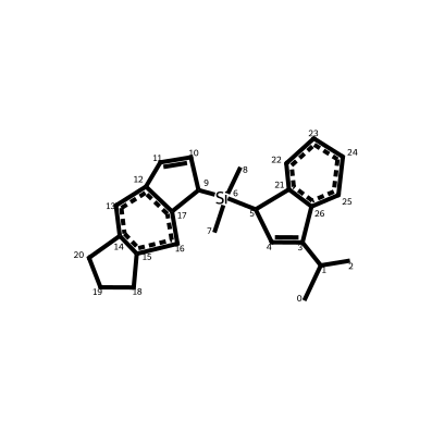 CC(C)C1=CC([Si](C)(C)C2C=Cc3cc4c(cc32)CCC4)c2ccccc21